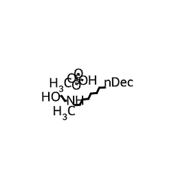 CCCCCCCCCCCCCCCCCC(C)NCCO.COS(=O)(=O)O